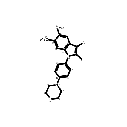 COc1cc2c(C(C)=O)c(C)n(-c3ccc(N4CCOCC4)cc3)c2cc1OC